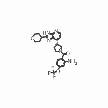 Nc1cc(OC(F)(F)F)ccc1C(=O)N1CC[C@H](c2ccnc3[nH]c(C4CCOCC4)nc23)C1